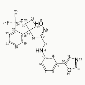 O/N=C(/CNc1cccc(-c2cnco2)c1)CC1(c2ccccc2C(F)(F)F)CCC1